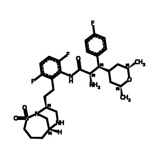 C[C@@H]1CC([C@H](c2ccc(F)cc2)[C@H](N)C(=O)Nc2c(F)ccc(F)c2CC[C@H]2CN[C@@H]3CCCS(=O)(=O)N2C3)C[C@H](C)O1